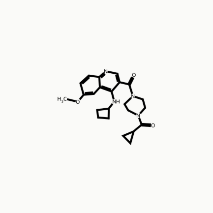 COc1ccc2ncc(C(=O)N3CCN(C(=O)C4CC4)CC3)c(NC3CCC3)c2c1